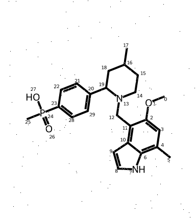 COc1cc(C)c2[nH]ccc2c1CN1CCC(C)CC1c1ccc(P(C)(=O)O)cc1